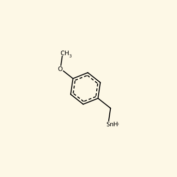 COc1ccc([CH2][SnH])cc1